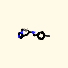 Cn1cncc1C[C@@H](NCc1ccc(C#N)cc1)C(=O)O